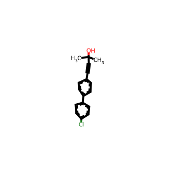 CC(C)(O)C#Cc1ccc(-c2ccc(Cl)cc2)cc1